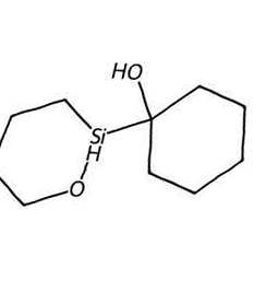 OC1([SiH]2CCCCO2)CCCCC1